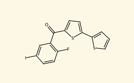 O=C(c1ccc(-c2cccs2)s1)c1cc(I)ccc1F